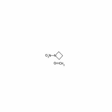 C=O.O=[N+]([O-])N1CCC1